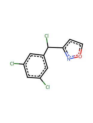 Clc1cc(Cl)cc(C(Cl)c2ccon2)c1